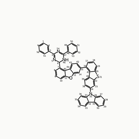 c1ccc(C2=NC(c3cccc4oc5cc(-c6cccc7sc8cc(-n9c%10ccccc%10c%10ccccc%109)ccc8c67)ccc5c34)NC(c3ccccc3)=N2)cc1